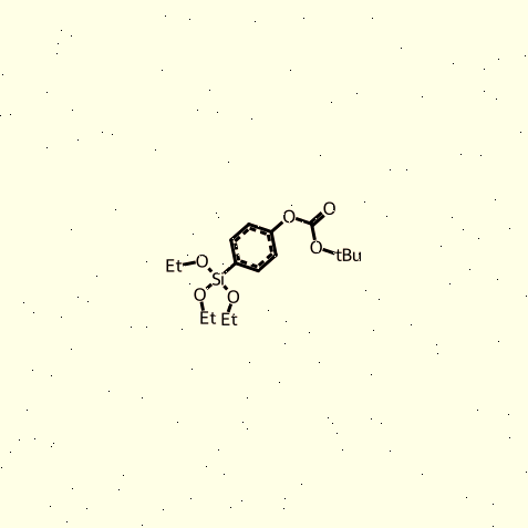 CCO[Si](OCC)(OCC)c1ccc(OC(=O)OC(C)(C)C)cc1